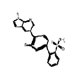 NS(=O)(=O)c1ccccc1-c1ccc(C2C=c3cc[nH]c3=NC2)c(F)c1